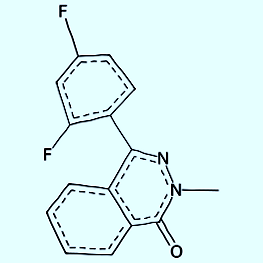 Cn1nc(-c2ccc(F)cc2F)c2ccccc2c1=O